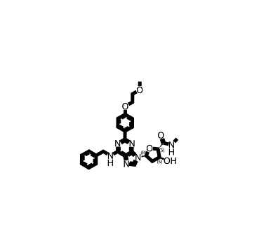 CNC(=O)[C@H]1O[C@@H](n2cnc3c(NCc4ccccc4)nc(-c4ccc(OCCOC)cc4)nc32)C[C@@H]1O